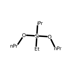 CCCO[Si](CC)(OCCC)C(C)C